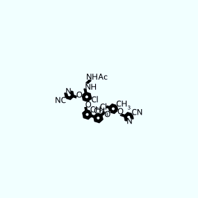 CC(=O)NCCNCc1cc(Cl)c(OCc2cccc(-c3cccc(COc4cc(OCc5cncc(C#N)c5)c(C)cc4Cl)c3C)c2C)cc1OCc1cncc(C#N)c1